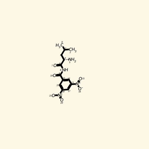 CC(C)C[C@H](N)C(=O)NC(=O)c1cc([N+](=O)[O-])cc([N+](=O)[O-])c1